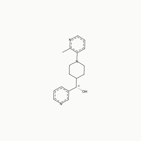 Cc1ncccc1N1CCC([C@H](O)c2cccnc2)CC1